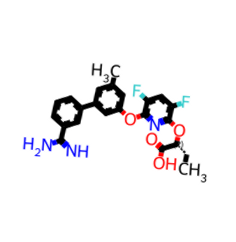 CC[C@@H](Oc1nc(Oc2cc(C)cc(-c3cccc(C(=N)N)c3)c2)c(F)cc1F)C(=O)O